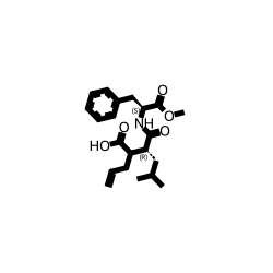 C=CCC(C(=O)O)[C@@H](CC(C)C)C(=O)N[C@@H](Cc1ccccc1)C(=O)OC